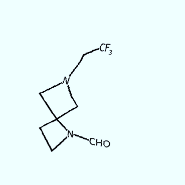 O=CN1CCC12CN(CC(F)(F)F)C2